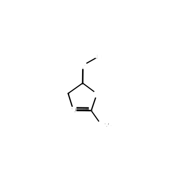 CCOC1CN=C(SC)S1